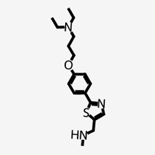 CCN(CC)CCCOc1ccc(-c2ncc(CNC)s2)cc1